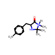 CC(=O)[N+]1(C)C(=O)C(Cc2ccc([N+](=O)[O-])cc2)NC1(C)C